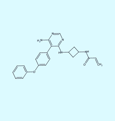 C=CC(=O)NC1CC(Nc2ncnc(N)c2-c2ccc(Oc3ccccc3)cc2)C1